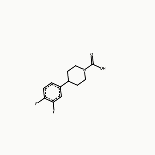 O=C(O)N1CCC(c2ccc(F)c(F)c2)CC1